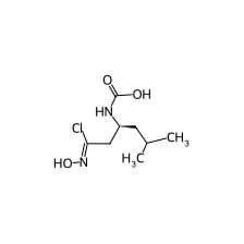 CC(C)C[C@@H](C/C(Cl)=N/O)NC(=O)O